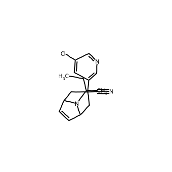 CCC(C)N1C2C=CC1CC(C#N)(c1cncc(Cl)c1)C2